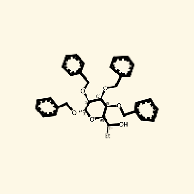 CC[C@H](O)[C@H]1O[C@H](OCc2ccccc2)[C@@H](OCc2ccccc2)[C@@H](OCc2ccccc2)[C@H]1OCc1ccccc1